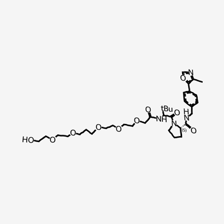 Cc1ncoc1-c1ccc(CNC(=O)[C@@H]2CCCN2C(=O)C(NC(=O)COCCOCCOCCCOCCOCCO)C(C)(C)C)cc1